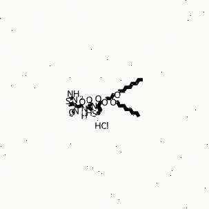 CCCCCCCCOCC(COC(=O)C1=CCS[C@H]2C(NC(=O)C(=NOC)c3csc(N)n3)C(=O)N12)OCCCCCCCC.Cl